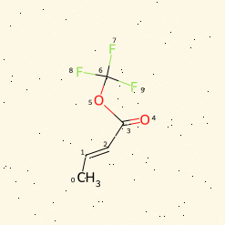 C/C=C/C(=O)OC(F)(F)F